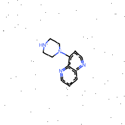 c1cnc2c(N3CCNCC3)ccnc2c1